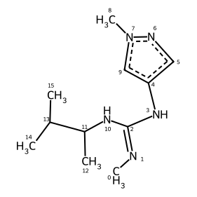 C/N=C(/Nc1cnn(C)c1)NC(C)C(C)C